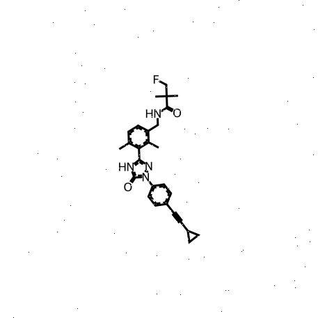 Cc1ccc(CNC(=O)C(C)(C)CF)c(C)c1-c1nn(-c2ccc(C#CC3CC3)cc2)c(=O)[nH]1